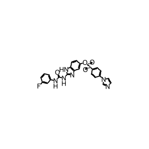 O=C(Nc1cccc(F)c1)Nc1nc2cc(OS(=O)(=O)c3ccc(-n4ccnc4)cc3)ccc2[nH]1